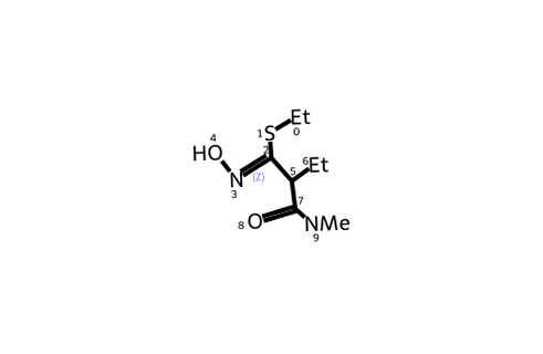 CCS/C(=N\O)C(CC)C(=O)NC